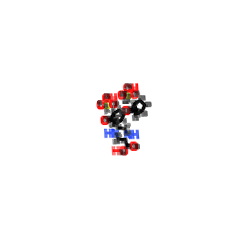 CC1(C)C2CC[C@]1(CS(=O)(=O)O)C(=O)C2.CC1(C)C2CC[C@]1(CS(=O)(=O)O)C(=O)C2.O=C(O)[C@H]1CNCCN1